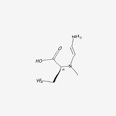 CN(C=CN)[C@@H](CS)C(=O)O